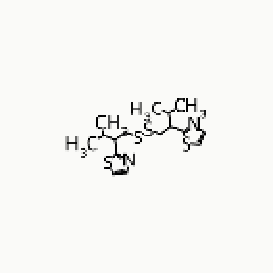 CC(C)C(CSSCC(c1nccs1)C(C)C)c1nccs1